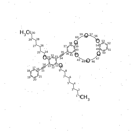 CCCCCCCCCCOc1cc(C#Cc2ccccc2)c(OCCCCCCCC)cc1C#Cc1ccc2c(c1)OCCOCCOc1ccccc1OCCOCCO2